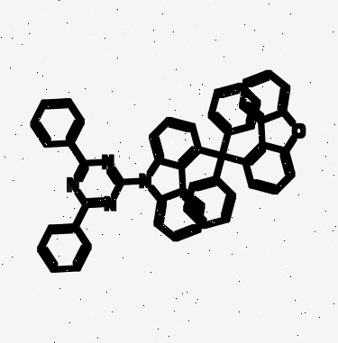 c1ccc(-c2nc(-c3ccccc3)nc(-n3c4ccccc4c4c(C(c5ccccc5)(c5ccccc5)c5cccc6oc7ccccc7c56)cccc43)n2)cc1